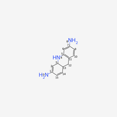 NC1=CC2Nc3cc(N)ccc3CC2C=C1